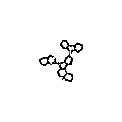 CC12C=CC=CC1c1c(n(-c3ncc4ccccc4n3)c3cc(-n4c5ccccc5c5ccccc54)ccc13)C=C2